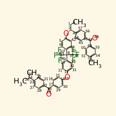 CCC(Oc1ccc(C(c2ccc(Oc3ccc(C(=O)c4ccc(C(C)C)cc4)cc3)cc2)(C(F)(F)F)C(F)(F)F)cc1)c1ccc(C(=O)c2ccc(C)cc2)cc1